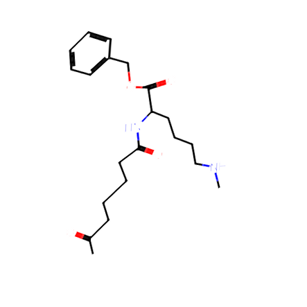 CNCCCCC(NC(=O)CCCCC(C)=O)C(=O)OCc1ccccc1